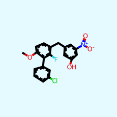 COc1ccc(Cc2cc(O)cc([N+](=O)[O-])c2)c(F)c1-c1cccc(Cl)c1